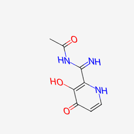 CC(=O)NC(=N)c1[nH]ccc(=O)c1O